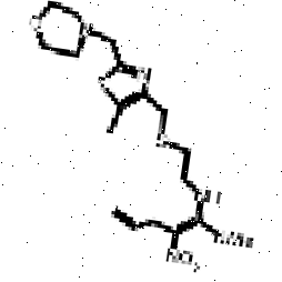 C=CCC(=C(NC)NCCSCc1nc(CN2CCOCC2)sc1C)[N+](=O)[O-]